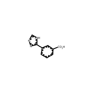 O=C(O)c1cccc(-c2nnc[nH]2)c1